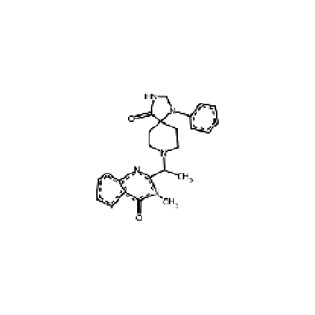 CC(c1nc2ccccc2c(=O)n1C)N1CCC2(CC1)C(=O)NCN2c1ccccc1